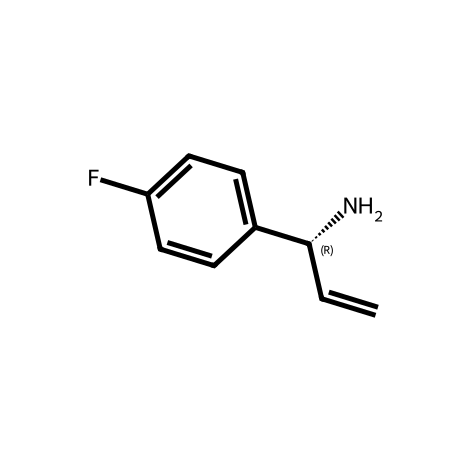 C=C[C@@H](N)c1ccc(F)cc1